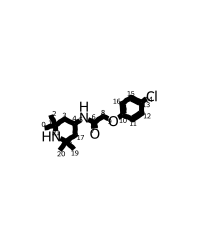 CC1(C)CC(NC(=O)COc2ccc(Cl)cc2)CC(C)(C)N1